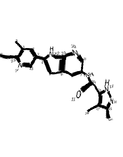 Cc1cc(-c2cc3cc(NC(=O)c4[nH]nc(C)c4C)cnc3[nH]2)cnc1C